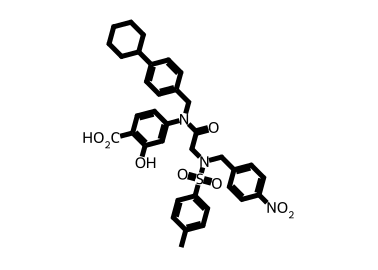 Cc1ccc(S(=O)(=O)N(CC(=O)N(Cc2ccc(C3CCCCC3)cc2)c2ccc(C(=O)O)c(O)c2)Cc2ccc([N+](=O)[O-])cc2)cc1